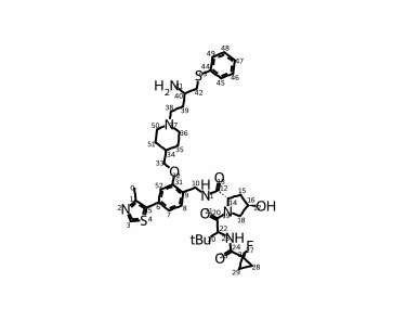 Cc1ncsc1-c1ccc(CNC(=O)[C@@H]2C[C@@H](O)CN2C(=O)C(NC(=O)C2(F)CC2)C(C)(C)C)c(OCC2CCN(CCC(N)CSc3ccccc3)CC2)c1